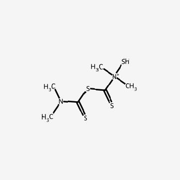 CN(C)C(=S)SC(=S)[N+](C)(C)S